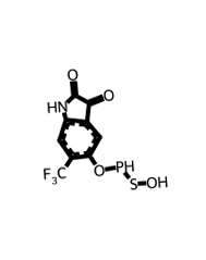 O=C1Nc2cc(C(F)(F)F)c(OPSO)cc2C1=O